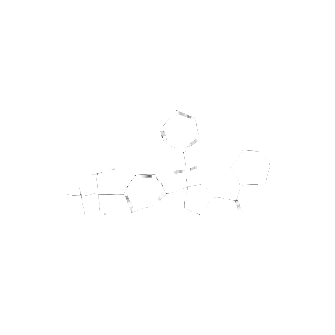 O=C(N1CCOCC1)N1CCC(c2ccc(C(O)(C(F)(F)F)C(F)(F)F)cc2)(S(=O)(=O)c2ccccc2)C1